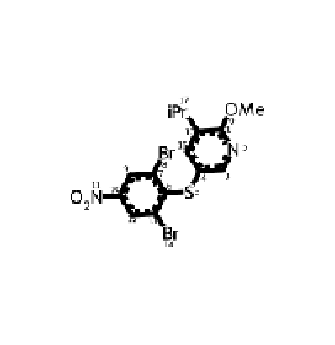 COc1ncc(Sc2c(Br)cc([N+](=O)[O-])cc2Br)cc1C(C)C